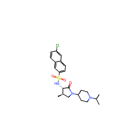 CC(C)N1CCC(N2C[C@@H](C)[C@H](NS(=O)(=O)c3ccc4cc(Cl)ccc4c3)C2=O)CC1